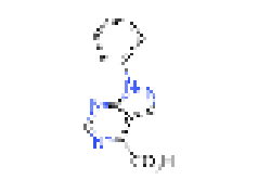 O=C(O)c1ncnc2c1cnn2-c1ccccc1